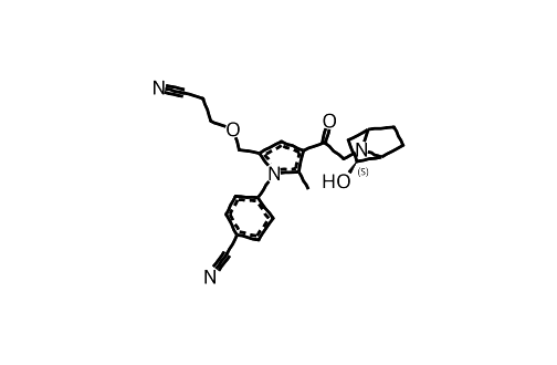 Cc1c(C(=O)CN2C3CCC2[C@@H](O)C3)cc(COCCC#N)n1-c1ccc(C#N)cc1